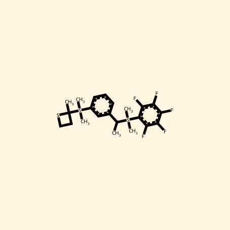 CC(c1cccc(S(C)(C)C2(C)CCS2)c1)S(C)(C)c1c(F)c(F)c(F)c(F)c1F